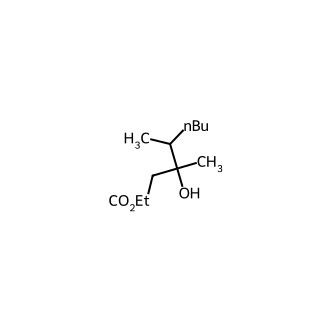 CCCCC(C)C(C)(O)CC(=O)OCC